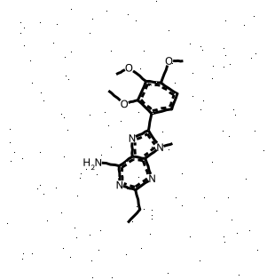 CCc1nc(N)c2nc(-c3ccc(OC)c(OC)c3OC)n(C)c2n1